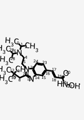 CC(C)N(CCn1c(CC(C)(C)C)nc2cc(C=CC(=O)NO)ccc21)C(C)C